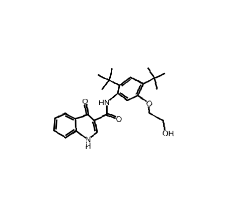 CC(C)(C)c1cc(C(C)(C)C)c(OCCO)cc1NC(=O)c1c[nH]c2ccccc2c1=O